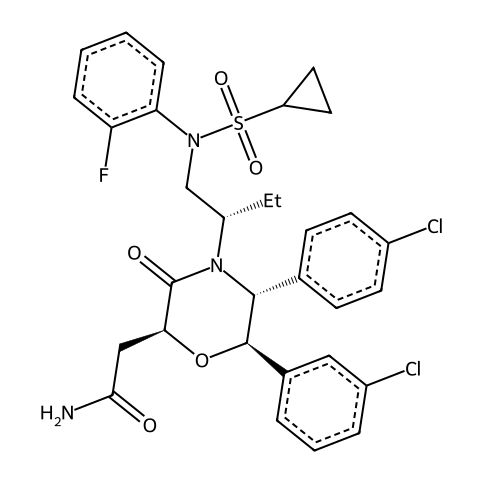 CC[C@@H](CN(c1ccccc1F)S(=O)(=O)C1CC1)N1C(=O)[C@H](CC(N)=O)O[C@H](c2cccc(Cl)c2)[C@H]1c1ccc(Cl)cc1